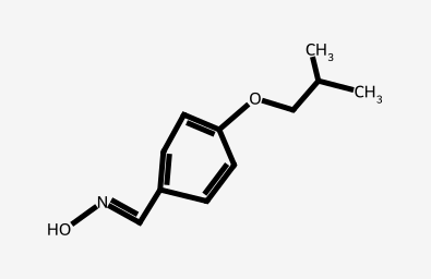 CC(C)COc1ccc(C=NO)cc1